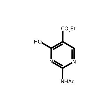 CCOC(=O)c1cnc(NC(C)=O)nc1O